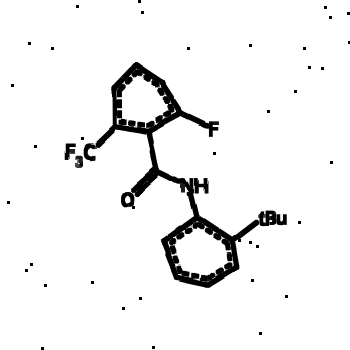 CC(C)(C)c1ccccc1NC(=O)c1c(F)cccc1C(F)(F)F